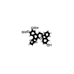 COc1cc2c3c(c4sc5ccsc5c4c2cc1OC)OC(c1ccccc1)(c1ccc(O)cc1)C=C3